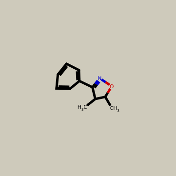 CC1ON=C(c2ccccc2)C1C